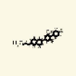 C=CCCc1ccc2cc(-c3cc(F)c(-c4ccc(F)cc4)c(F)c3)ccc2c1